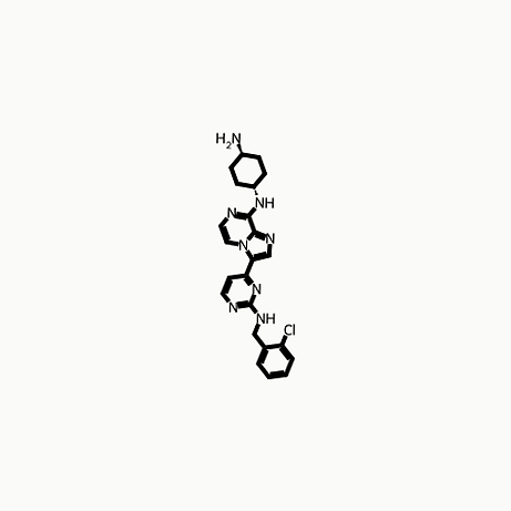 N[C@H]1CC[C@H](Nc2nccn3c(-c4ccnc(NCc5ccccc5Cl)n4)cnc23)CC1